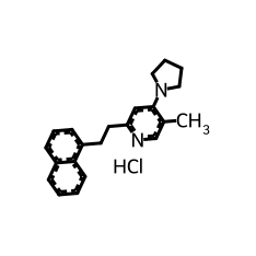 Cc1cnc(CCc2cccc3ccccc23)cc1N1CCCC1.Cl